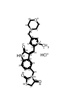 Cl.Cn1cc(CN2CCOCC2)cc1C=C1C(=O)Nc2ccc(CN3C(=O)CSC3=O)cc21